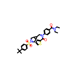 CCN(CC)C(=O)c1ccc(N(CC2C3CN(S(=O)(=O)c4ccc(C(C)(C)C)cc4)CC23)C(=O)c2cccs2)cc1